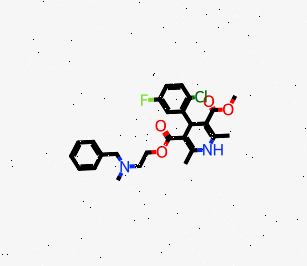 COC(=O)C1=C(C)NC(C)=C(C(=O)OCCN(C)Cc2ccccc2)C1c1cc(F)ccc1Cl